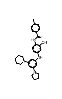 Cc1ccc(C(=O)Nc2ccc(Nc3cc(N4CCCCC4)cc(N4CCCC4)c3)cc2O)cc1